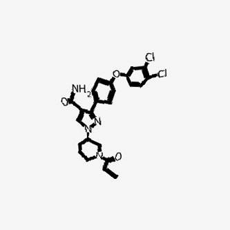 C=CC(=O)N1CCC[C@@H](n2cc(C(N)=O)c(-c3ccc(Oc4ccc(Cl)c(Cl)c4)cc3)n2)C1